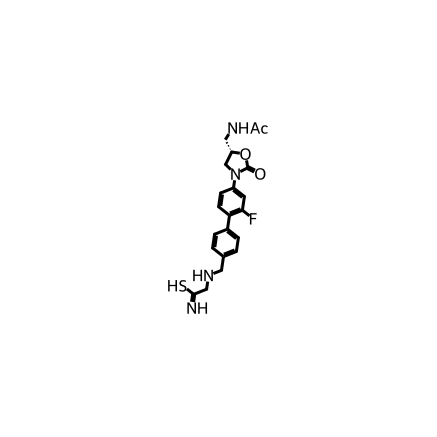 CC(=O)NC[C@H]1CN(c2ccc(-c3ccc(CNCC(=N)S)cc3)c(F)c2)C(=O)O1